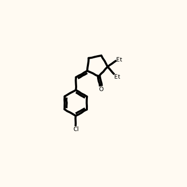 CCC1(CC)CCC(=Cc2ccc(Cl)cc2)C1=O